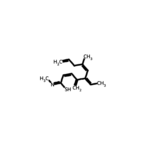 C=CC/C(C)=C\C(=C/C)C(=C)/C=C\C(S)=N/C